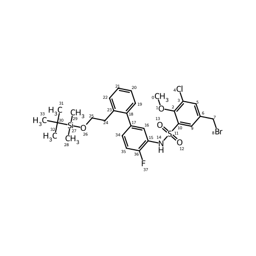 COc1c(Cl)cc(CBr)cc1S(=O)(=O)Nc1cc(-c2ccccc2CCO[Si](C)(C)C(C)(C)C)ccc1F